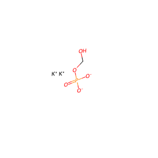 O=P([O-])([O-])OCO.[K+].[K+]